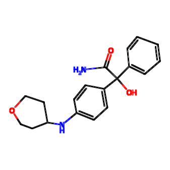 NC(=O)C(O)(c1ccccc1)c1ccc(NC2CCOCC2)cc1